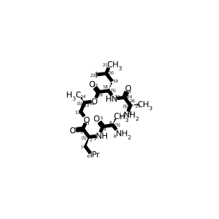 CC(C)C[C@H](NC(=O)[C@H](C)N)C(=O)OC[C@H](C)OC(=O)[C@H](CC(C)I)NC(=O)[C@H](C)N